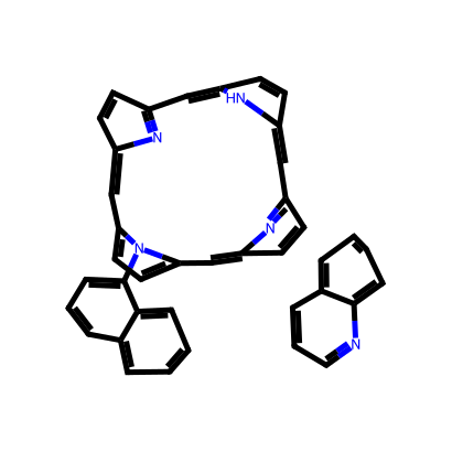 C1=Cc2cc3ccc(cc4nc(cc5ccc(cc1n2)[nH]5)C=C4)n3-c1cccc2ccccc12.c1ccc2ncccc2c1